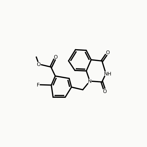 COC(=O)c1cc(Cn2c(=O)[nH]c(=O)c3ccccc32)ccc1F